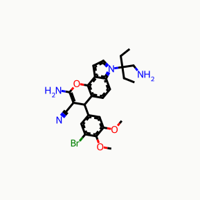 CCC(CC)(CN)n1ccc2c3c(ccc21)C(c1cc(Br)c(OC)c(OC)c1)C(C#N)=C(N)O3